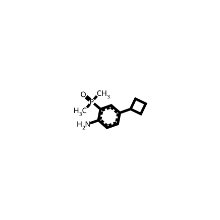 CP(C)(=O)c1cc(C2CCC2)ccc1N